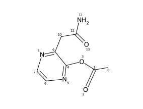 CC(=O)Oc1nccnc1CC(N)=O